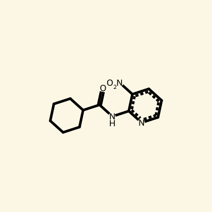 O=C(Nc1ncccc1[N+](=O)[O-])C1CCCCC1